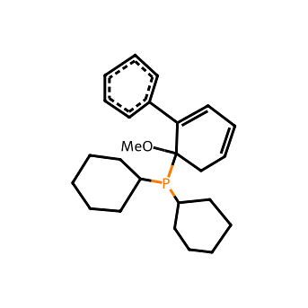 COC1(P(C2CCCCC2)C2CCCCC2)CC=CC=C1c1ccccc1